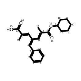 CC(=CC(=Cc1ccccc1)C=C(C)C(=O)OC1CCCCC1)C(=O)O